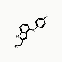 OCc1cc2c(Oc3ccc(Cl)cc3)cccc2[nH]1